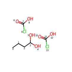 CCCC(O)O.O=C(O)Cl.O=C(O)Cl